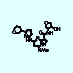 CNc1cc(Nc2cccc(C3CCCOC3)n2)nc2c(C(=O)NC3COCC3O)cnn12